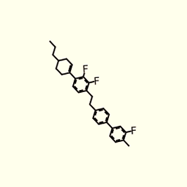 CCCC1CC=C(c2ccc(CCc3ccc(-c4ccc(C)c(F)c4)cc3)c(F)c2F)CC1